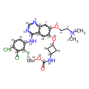 CN(C)CCOc1cc2ncnc(Nc3ccc(Cl)c(Cl)c3F)c2cc1OC1CC(NC(=O)OC(C)(C)C)C1